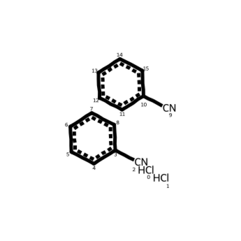 Cl.Cl.N#Cc1ccccc1.N#Cc1ccccc1